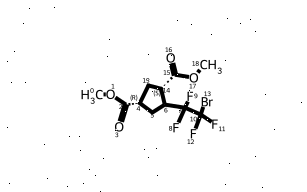 COC(=O)[C@H]1CC(C(F)(F)C(F)(F)Br)[C@@H](C(=O)OC)C1